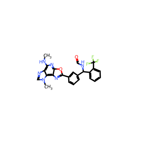 CNc1nc2oc(-c3cccc(C(NC=O)c4ccccc4C(F)(F)F)c3)nc2c2c1ncn2C